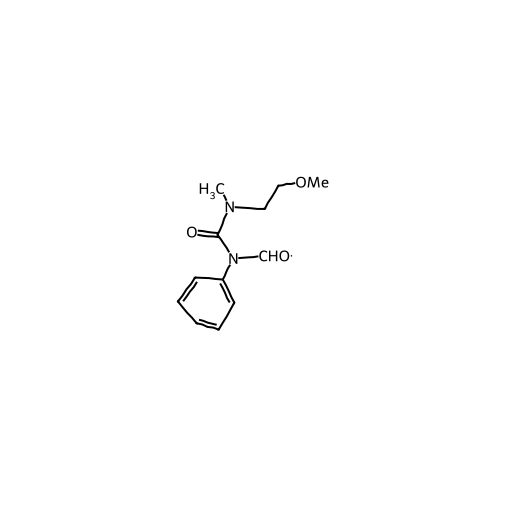 COCCN(C)C(=O)N([C]=O)c1ccccc1